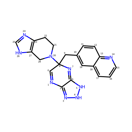 C1=NC2=NNNC2=NC1(Cc1ccc2ncccc2c1)N1CCc2nc[nH]c2C1